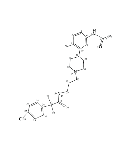 Cc1ccc(NC(=O)C(C)C)cc1C1CCN(CCCNC(=O)C(C)(C)c2ccc(Cl)cc2)CC1